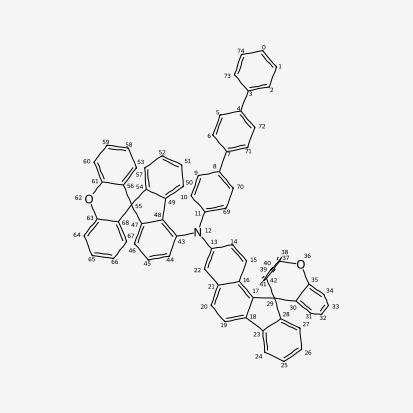 c1ccc(-c2ccc(-c3ccc(N(c4ccc5c6c(ccc5c4)-c4ccccc4C64c5ccccc5Oc5ccccc54)c4cccc5c4-c4ccccc4C54c5ccccc5Oc5ccccc54)cc3)cc2)cc1